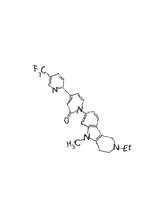 CCN1CCc2c(c3ccc(-n4ccc(-c5ccc(C(F)(F)F)cn5)cc4=O)cc3n2C)C1